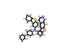 c1ccc(-c2ccc(N(c3ccc4sc5ccccc5c4c3)c3cccc4oc5cc6cnccc6cc5c34)cc2)cc1